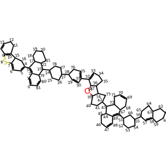 C1=CC2=C(C3=CC=C4SC5=C(CCC=C5)C4C3)C3CCCCC3C(C3CCC(C4C=CC(C5=CCCC6C5OC5CCC(C7C8CCC=CC8=C(C8CCCC(C9C=C%10CCCCC%10CC9)C8)C8CC=CCC87)CC56)=CC4)CC3)C2C=C1